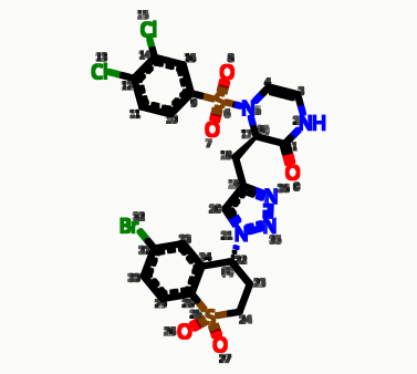 O=C1NC=CN(S(=O)(=O)c2ccc(Cl)c(Cl)c2)[C@@H]1Cc1cn([C@@H]2CCS(=O)(=O)c3ccc(Br)cc32)nn1